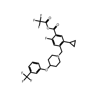 O=C(OC(=O)C(F)(F)F)c1cc(C2CC2)c(CN2CCC(Oc3cccc(C(F)(F)F)c3)CC2)cc1F